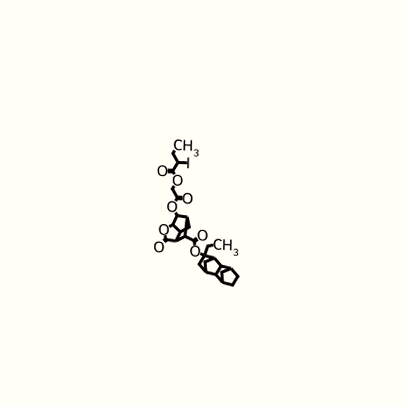 CCC(I)C(=O)OCC(=O)OC1C2CC3C1OC(=O)C3C2C(=O)OC1(CC)CC2CC1C1C3CCC(C3)C21